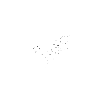 C[C@@H]1C[C@H]2[C@@H]3C[C@H](F)C4=CC(=O)C=C[C@]4(C)[C@@]3(F)[C@@H](O)C[C@]2(C)[C@@]1(OC(=O)c1ccns1)C(=O)SCF